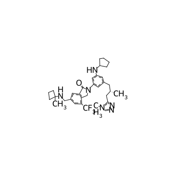 C[C@@H](Cc1cc(NC2CCCC2)cc(N2Cc3c(cc(CNC4(C)CCC4)cc3C(F)(F)F)C2=O)c1)Cc1nncn1C